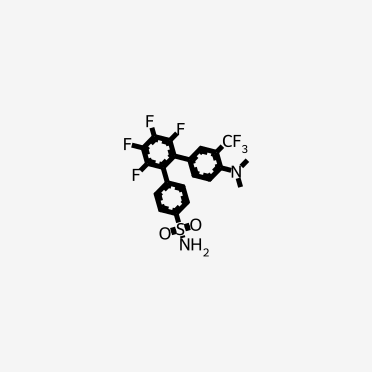 CN(C)c1ccc(-c2c(F)c(F)c(F)c(F)c2-c2ccc(S(N)(=O)=O)cc2)cc1C(F)(F)F